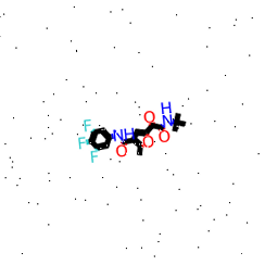 Cc1oc(C(=O)C(=O)NC(C)(C)C)cc1C(=O)Nc1cc(F)c(F)c(F)c1